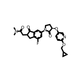 CN(C)C(=O)CC1Cc2c(F)cc(N3CC[C@@H](Oc4ccc(OCC5CC5)nc4)C3=O)cc2C1=O